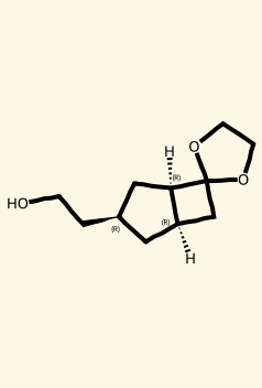 OCC[C@@H]1C[C@@H]2CC3(OCCO3)[C@@H]2C1